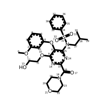 COc1cccc(Oc2c(OCCO)nc(C(=O)N3CCOCC3)nc2N(CC(C)C)S(=O)(=O)c2ccccc2)c1